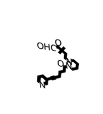 CC(C)(CCN1CCCCN1C(=O)CCCC#Cc1cccnc1)C(=O)C=O